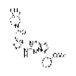 COc1ccccc1-c1ccc2cnc(Nc3ccn(CC(=O)N4CCN(C)CC4)n3)nn12